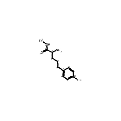 CC(C)NC(=O)C(N)CCCc1ccc(F)cc1